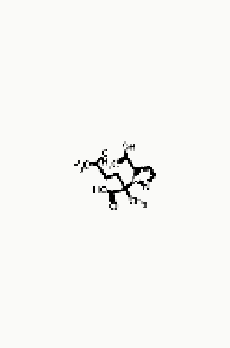 CC(C)CCC(C)(C(=O)O)n1nccc1C(=O)O